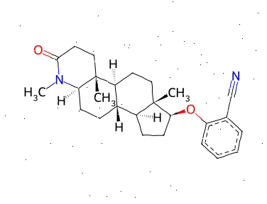 CN1C(=O)CC[C@]2(C)[C@H]3CC[C@]4(C)[C@@H](Oc5ccccc5C#N)CC[C@H]4[C@@H]3CC[C@@H]12